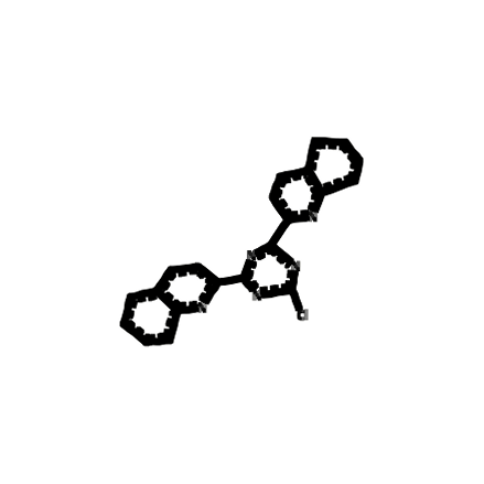 Clc1nc(-c2ccc3ccccc3n2)nc(-c2ccc3ccccc3n2)n1